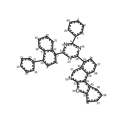 c1ccc(-c2nc(-c3ccc(-c4ccccc4)c4ccccc34)nc(-c3cccc4c3cnc3oc5ccccc5c34)n2)cc1